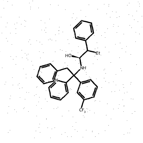 CCC(c1ccccc1)[C@H](O)NC(Cc1ccccc1)(c1cccc(C(F)(F)F)c1)c1ccccn1